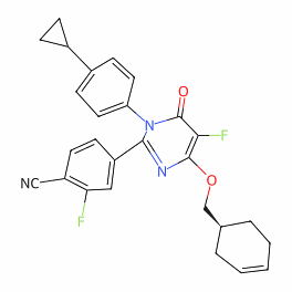 N#Cc1ccc(-c2nc(OC[C@@H]3CC=CCC3)c(F)c(=O)n2-c2ccc(C3CC3)cc2)cc1F